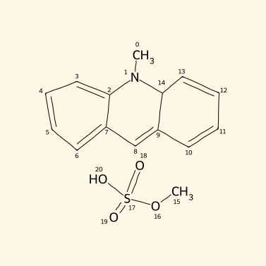 CN1c2ccccc2C=C2C=CC=CC21.COS(=O)(=O)O